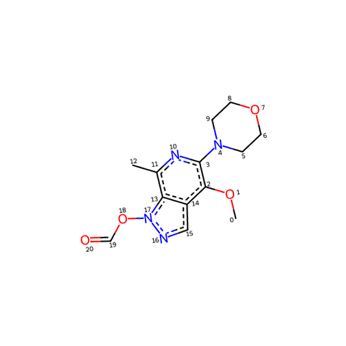 COc1c(N2CCOCC2)nc(C)c2c1cnn2OC=O